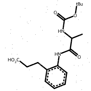 CC(NC(=O)OC(C)(C)C)C(=O)Nc1ccccc1CCC(=O)O